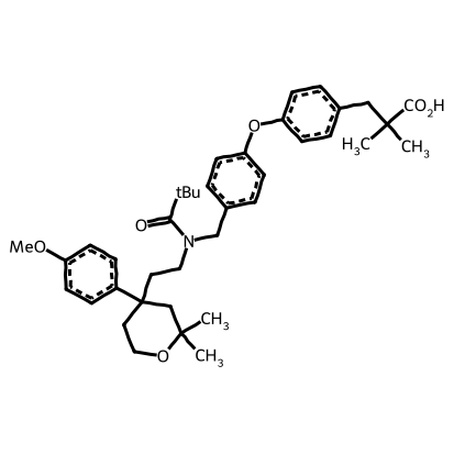 COc1ccc(C2(CCN(Cc3ccc(Oc4ccc(CC(C)(C)C(=O)O)cc4)cc3)C(=O)C(C)(C)C)CCOC(C)(C)C2)cc1